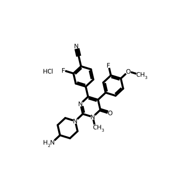 COc1ccc(-c2c(-c3ccc(C#N)c(F)c3)nc(N3CCC(N)CC3)n(C)c2=O)cc1F.Cl